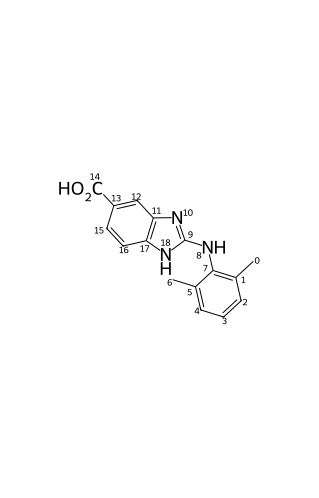 Cc1cccc(C)c1Nc1nc2cc(C(=O)O)ccc2[nH]1